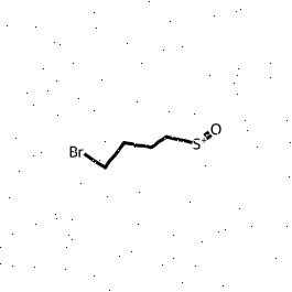 O=[S+]CCCCBr